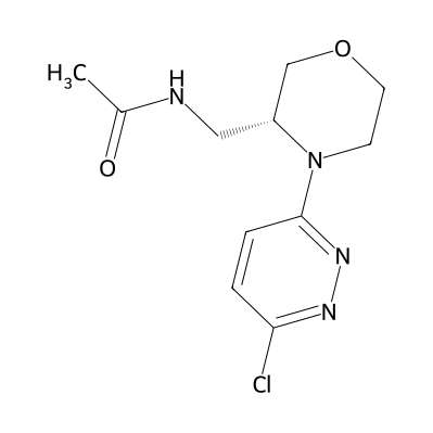 CC(=O)NC[C@@H]1COCCN1c1ccc(Cl)nn1